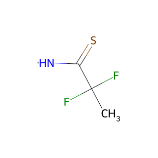 CC(F)(F)C([NH])=S